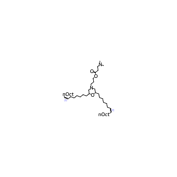 CCCCCCCC/C=C\CCCCCCC1CN(CCCOC(=O)CCN(C)C)CC(CCCCCC/C=C\CCCCCCCC)O1